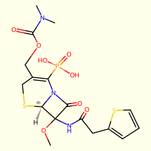 COC1(NC(=O)Cc2cccs2)C(=O)N2C(P(=O)(O)O)=C(COC(=O)N(C)C)CS[C@@H]21